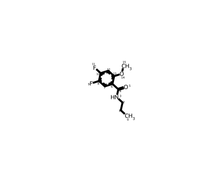 CCCNC(=O)c1cc(F)c(F)cc1OC